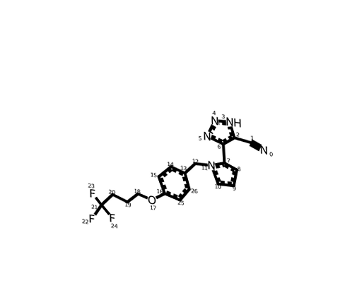 N#Cc1[nH]nnc1-c1cccn1Cc1ccc(OCCCC(F)(F)F)cc1